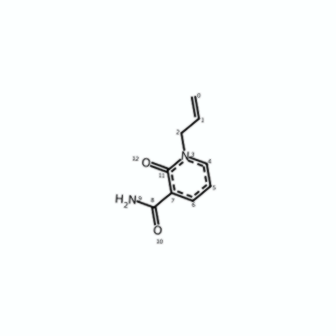 C=CCn1cccc(C(N)=O)c1=O